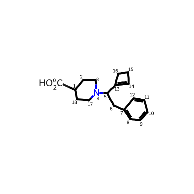 O=C(O)C1CCN(C(Cc2ccccc2)C2=CCC2)CC1